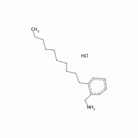 CCCCCCCCCCc1ccccc1CN.Cl